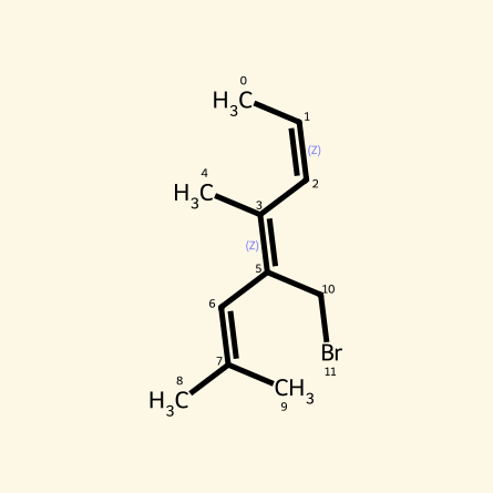 C/C=C\C(C)=C(\C=C(C)C)CBr